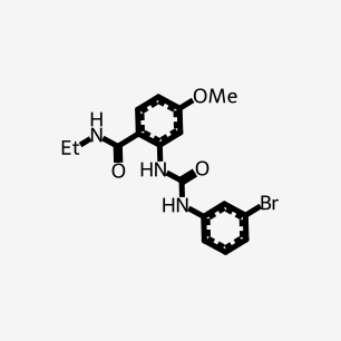 CCNC(=O)c1ccc(OC)cc1NC(=O)Nc1cccc(Br)c1